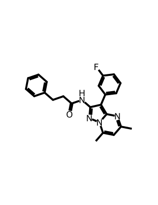 Cc1cc(C)n2nc(NC(=O)CCc3ccccc3)c(-c3cccc(F)c3)c2n1